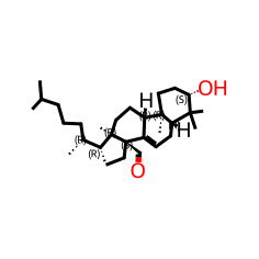 CC(C)CCC[C@@H](C)[C@H]1CC[C@@]2(C=O)C3=CC[C@H]4C(C)(C)[C@@H](O)CC[C@]4(C)[C@H]3CC[C@]12C